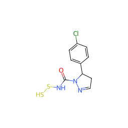 O=C(NSS)N1N=CCC1c1ccc(Cl)cc1